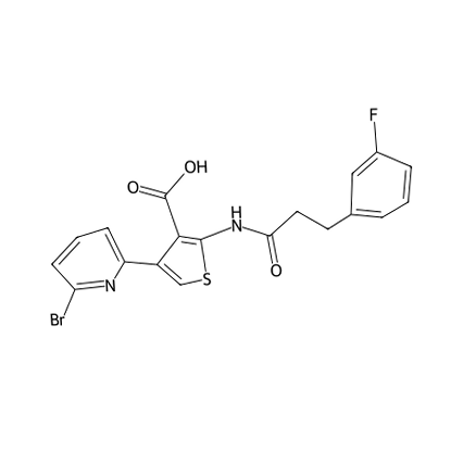 O=C(CCc1cccc(F)c1)Nc1scc(-c2cccc(Br)n2)c1C(=O)O